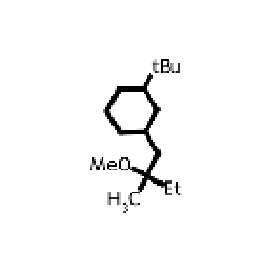 CCC(C)(CC1CCCC(C(C)(C)C)C1)OC